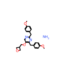 COc1ccc(Cc2ncc(OCC3COC3)c(Cc3ccc(OC)cc3)n2)cc1.N